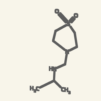 CC(C)NCN1CCS(=O)(=O)CC1